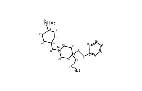 CCOCC1(CCc2ccccc2)CCN(CC2CCC(NC(C)=O)CC2)CC1